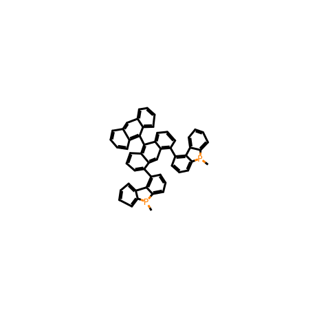 Cp1c2ccccc2c2c(-c3cccc4c(-c5c6ccccc6cc6ccccc56)c5cccc(-c6cccc7c6c6ccccc6p7C)c5cc34)cccc21